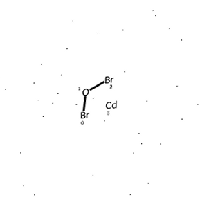 BrOBr.[Cd]